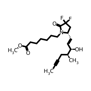 CC#CC[C@H](C)[C@H](O)/C=C/[C@H]1CC(F)(F)C(=O)N1CCCCCCC(=O)OC